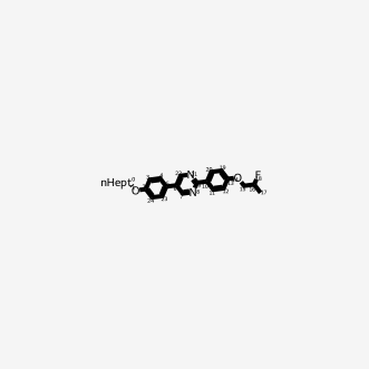 CCCCCCCOc1ccc(-c2cnc(-c3ccc(OCC(C)F)cc3)nc2)cc1